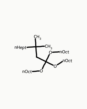 CCCCCCCCOC(CC(C)(C)CCCCCCC)(OCCCCCCCC)OCCCCCCCC